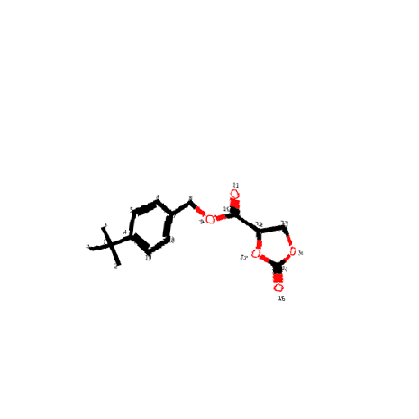 CC(C)(C)c1ccc(COC(=O)C2COC(=O)O2)cc1